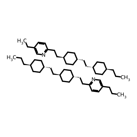 CCC[C@H]1CC[C@H](CC[C@H]2CC[C@H](CCc3ccc(CC)cn3)CC2)CC1.CCCc1ccc(CC[C@H]2CC[C@H](CC[C@H]3CC[C@H](CCC)CC3)CC2)nc1